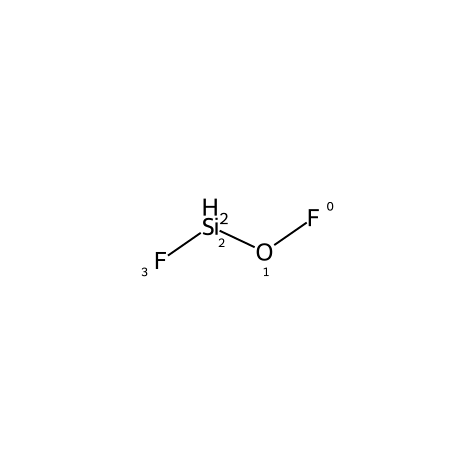 FO[SiH2]F